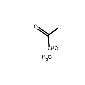 CC(=O)C=O.O